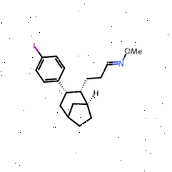 CON=CCC[C@@H]1[C@H]2CCC(C2)C[C@@H]1c1ccc(I)cc1